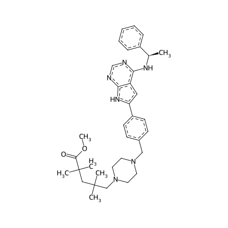 COC(=O)C(C)(C)CC(C)(C)CN1CCN(Cc2ccc(-c3cc4c(N[C@H](C)c5ccccc5)ncnc4[nH]3)cc2)CC1